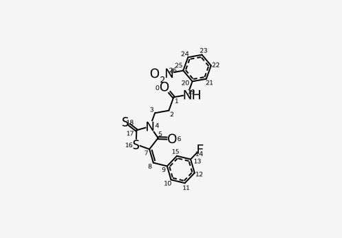 O=C(CCN1C(=O)/C(=C\c2cccc(F)c2)SC1=S)Nc1ccccc1[N+](=O)[O-]